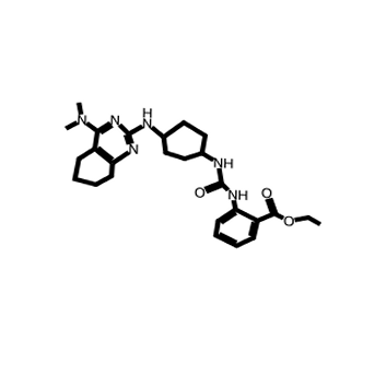 CCOC(=O)c1ccccc1NC(=O)NC1CCC(Nc2nc3c(c(N(C)C)n2)CCCC3)CC1